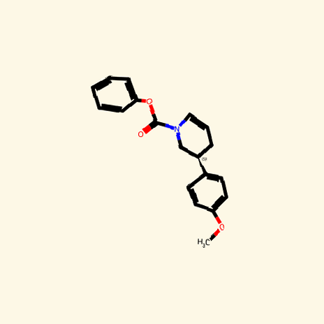 COc1ccc([C@@H]2CC=CN(C(=O)Oc3ccccc3)C2)cc1